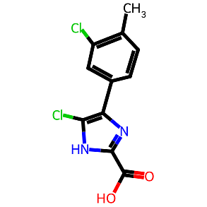 Cc1ccc(-c2nc(C(=O)O)[nH]c2Cl)cc1Cl